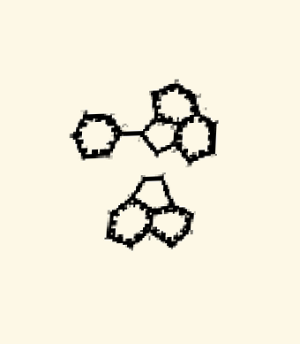 c1cc2c3c(cccc3c1)CC2.c1ccc(C2Cc3cccc4cccc2c34)cc1